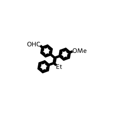 CCC(=C(c1ccc(C=O)cc1)c1ccc(OC)cc1)c1ccccc1